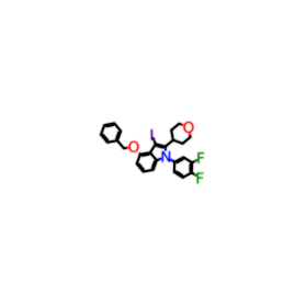 Fc1ccc(-n2c(C3CCOCC3)c(I)c3c(OCc4ccccc4)cccc32)cc1F